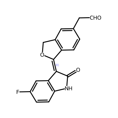 O=CCc1ccc2c(c1)CO/C2=C1/C(=O)Nc2ccc(F)cc21